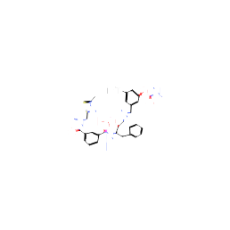 Cc1csc(CN(C)C(=O)c2cccc(C(=O)NC(Cc3ccccc3)C(O)CNCc3cc(OC(=O)N(C)C)cc(C(C)C)c3)c2)n1